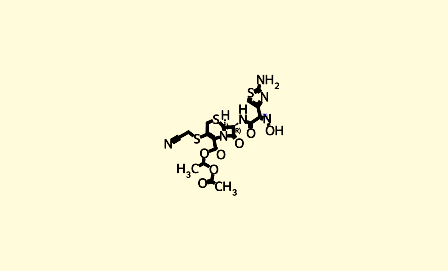 CC(=O)OC(C)OC(=O)C1=C(SCC#N)CS[C@H]2[C@H](NC(=O)/C(=N\O)c3csc(N)n3)C(=O)N12